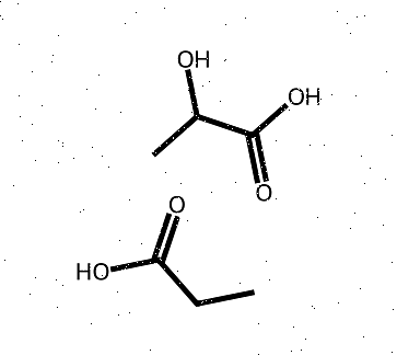 CC(O)C(=O)O.CCC(=O)O